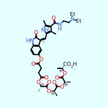 CCN(CC)CCNC(=O)c1c(C)[nH]c(/C=C2\C(=O)Nc3ccc(OC(=O)CCC(=O)O[C@@H](C)C(=O)O[C@H](C)C(=O)O[C@H](C)C(=O)O[C@H](C)C(=O)O)cc32)c1C